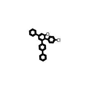 Clc1ccc2c(c1)OC1C=C(c3ccccc3)C=C(c3ccc(-c4ccccc4)cc3)C21